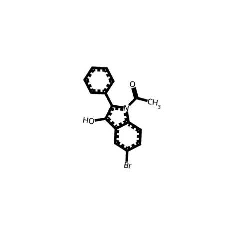 CC(=O)n1c(-c2ccccc2)c(O)c2cc(Br)ccc21